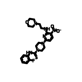 O=[N+]([O-])c1ccc(N2CCN(C(=S)Nc3ccccc3F)CC2)nc1NCCN1CCOCC1